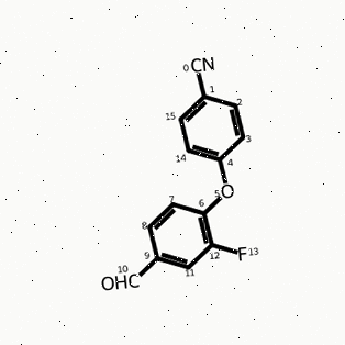 N#Cc1ccc(Oc2ccc(C=O)cc2F)cc1